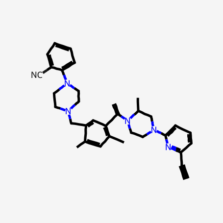 C#Cc1cccc(N2CCN(C(=C)c3cc(CN4CCN(c5ccccc5C#N)CC4)c(C)cc3C)C(C)C2)n1